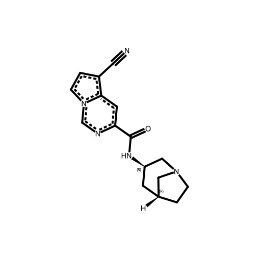 N#Cc1ccn2cnc(C(=O)N[C@@H]3C[C@H]4CCN(C4)C3)cc12